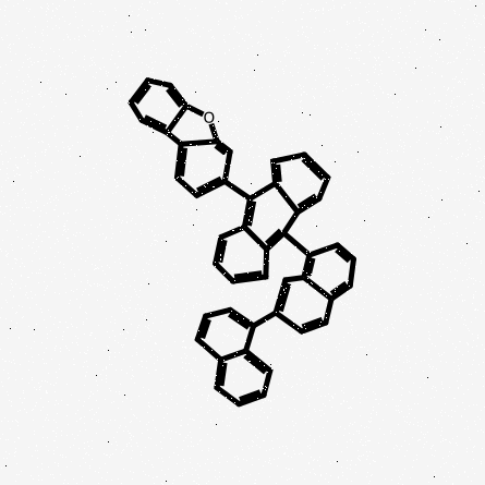 c1ccc2c(-c3ccc4cccc(-c5c6ccccc6c(-c6ccc7c(c6)oc6ccccc67)c6ccccc56)c4c3)cccc2c1